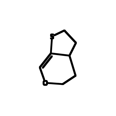 C1=C2SCCC2CCO1